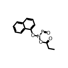 CCC(=O)ON(Oc1cccc2ccccc12)P=O